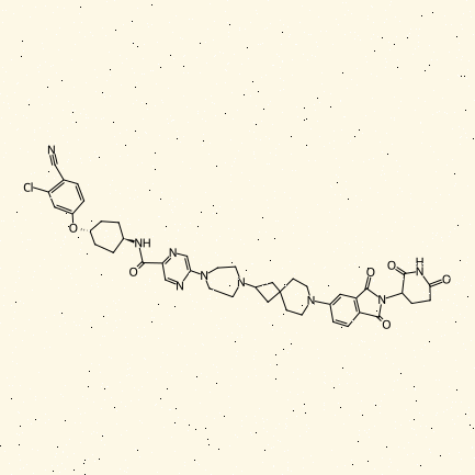 N#Cc1ccc(O[C@H]2CC[C@H](NC(=O)c3cnc(N4CCN(C5CC6(CCN(c7ccc8c(c7)C(=O)N(C7CCC(=O)NC7=O)C8=O)CC6)C5)CC4)cn3)CC2)cc1Cl